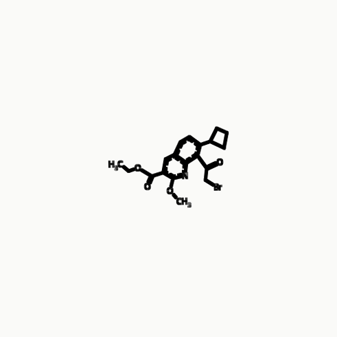 CCOC(=O)c1cc2ccc(C3CCC3)c(C(=O)CBr)c2nc1OC